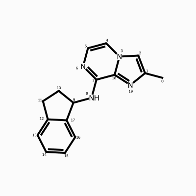 Cc1cn2ccnc(NC3CCc4ccccc43)c2n1